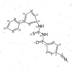 N#Cc1ccc(C(=O)NC(=S)Nc2cccc(-c3ccccc3)c2)cc1